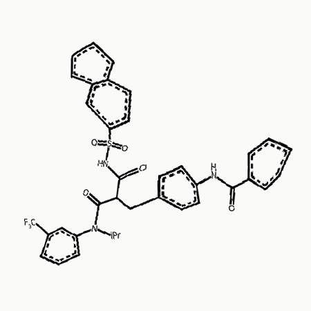 CC(C)N(C(=O)C(Cc1ccc(NC(=O)c2ccccc2)cc1)C(=O)NS(=O)(=O)c1ccc2ccccc2c1)c1cccc(C(F)(F)F)c1